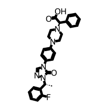 C[C@H](c1ccccc1F)n1ncn(-c2ccc(N3CCN([C@@H](C(=O)O)c4ccccc4)CC3)cc2)c1=O